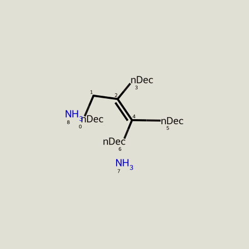 CCCCCCCCCCCC(CCCCCCCCCC)=C(CCCCCCCCCC)CCCCCCCCCC.N.N